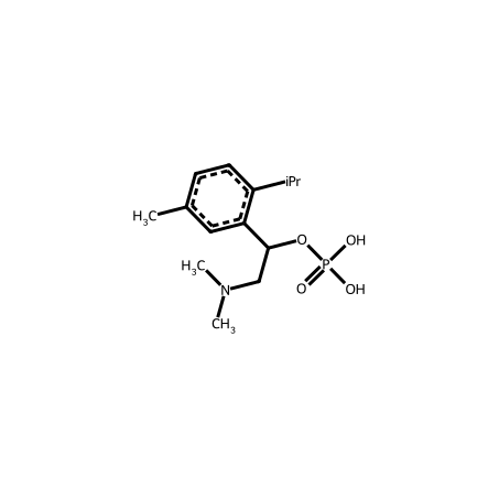 Cc1ccc(C(C)C)c(C(CN(C)C)OP(=O)(O)O)c1